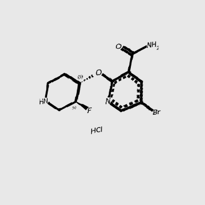 Cl.NC(=O)c1cc(Br)cnc1O[C@H]1CCNC[C@@H]1F